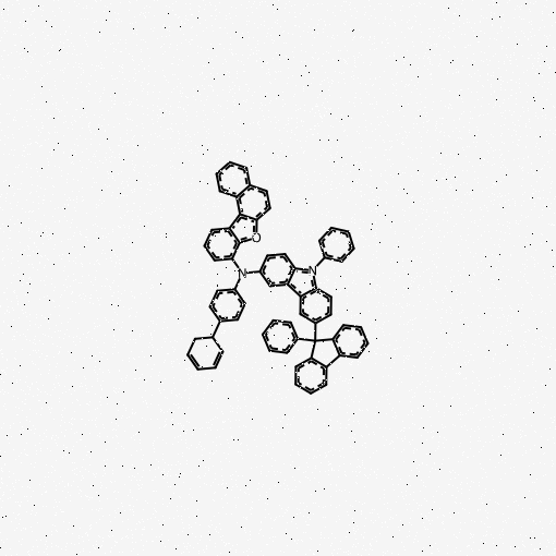 C1=CCC(c2ccc(N(c3ccc4c(c3)c3cc(C5(c6ccccc6)c6ccccc6-c6ccccc65)ccc3n4-c3ccccc3)c3cccc4c3oc3ccc5ccccc5c34)cc2)C=C1